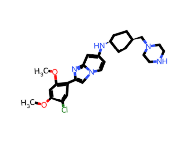 COc1cc(OC)c(-c2cn3ccc(N[C@H]4CC[C@H](CN5CCNCC5)CC4)cc3n2)cc1Cl